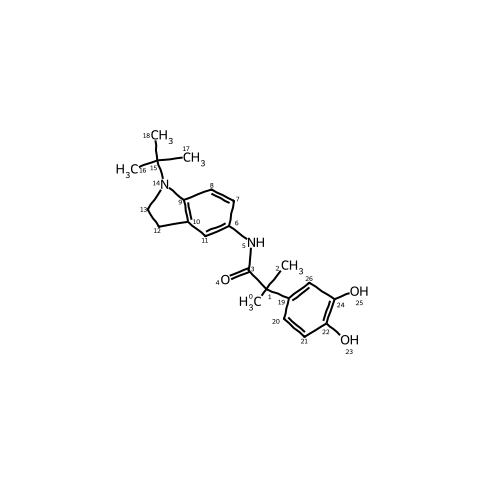 CC(C)(C(=O)Nc1ccc2c(c1)CCN2C(C)(C)C)c1ccc(O)c(O)c1